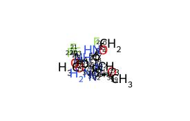 C=C(F)C(=O)Nc1ccc(-c2c(-c3ccc(C(=O)NCC(F)(F)F)c(OC)c3)c3c(N)ncc(C#CC(=O)CC)c3n2C)cc1